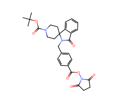 CC(C)(C)OC(=O)N1CCC2(CC1)c1ccccc1C(=O)N2Cc1ccc(C(=O)ON2C(=O)CCC2=O)cc1